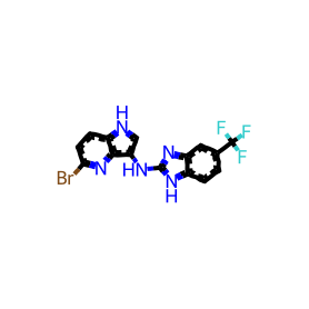 FC(F)(F)c1ccc2[nH]c(Nc3c[nH]c4ccc(Br)nc34)nc2c1